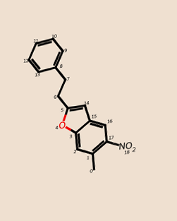 Cc1cc2oc(CCc3ccccc3)cc2cc1[N+](=O)[O-]